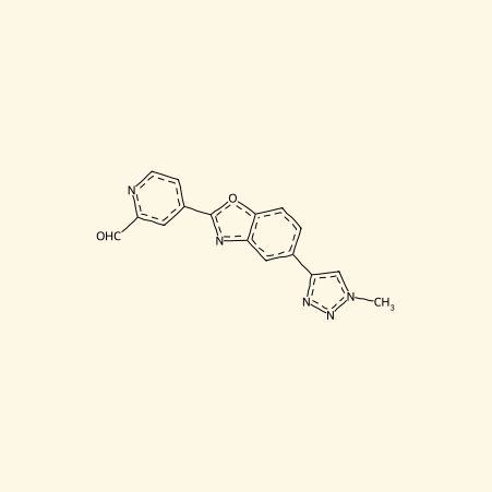 Cn1cc(-c2ccc3oc(-c4ccnc(C=O)c4)nc3c2)nn1